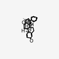 C[C@]12C=CC(=O)C=C1CC[C@H]1[C@@H]3CC[C@]4(C)O[C@@H](C[C@]34S(=O)(=O)c3ccccc3)[C@@]12F